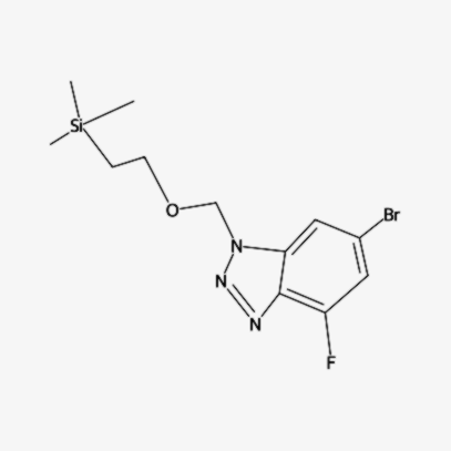 C[Si](C)(C)CCOCn1nnc2c(F)cc(Br)cc21